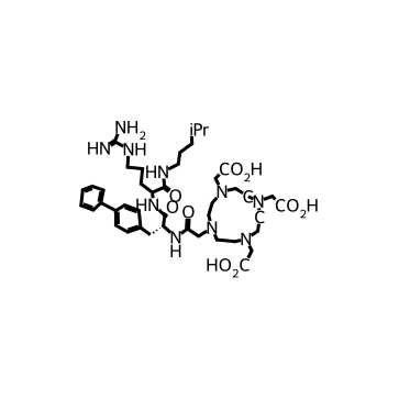 CC(C)CCCNC(=O)C(CCCNC(=N)N)NC(=O)[C@@H](Cc1ccc(-c2ccccc2)cc1)NC(=O)CN1CCN(CC(=O)O)CCN(CC(=O)O)CCN(CC(=O)O)CC1